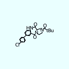 CC(C)(C)C(=O)N1CCN2C(=O)c3cc(-c4ccc(Cl)cc4)ccc3NC(=O)C2C1